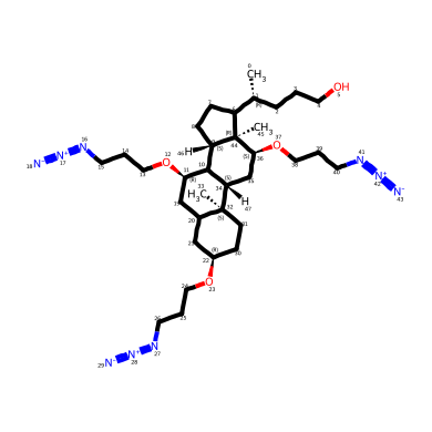 C[C@H](CCCO)C1CC[C@H]2C3[C@H](OCCCN=[N+]=[N-])CC4C[C@H](OCCCN=[N+]=[N-])CC[C@]4(C)[C@H]3C[C@H](OCCCN=[N+]=[N-])[C@]12C